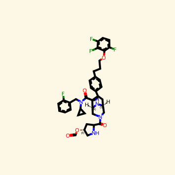 O=CO[C@H]1CNC(C(=O)N2C[C@@H]3CC(c4ccc(CCCOc5c(F)ccc(F)c5F)cc4)=C(C(=O)N(Cc4ccccc4F)C4CC4)[C@H](C2)N3)C1